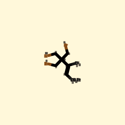 CCOC(=O)/C=C(\C(F)(F)F)C(CBr)(CBr)CBr